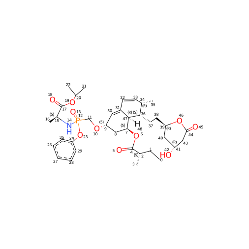 CC[C@H](C)C(=O)O[C@H]1C[C@H](OCP(=O)(N[C@@H](C)C(=O)OC(C)C)Oc2ccccc2)C=C2C=C[C@H](C)[C@H](CC[C@@H]3C[C@@H](O)CC(=O)O3)[C@H]21